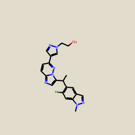 CC(c1cc2cnn(C)c2cc1F)c1cnc2ccc(-c3cnn(CCO)c3)nn12